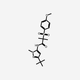 COc1ccc(S(=O)(=O)C(C)(C)C(=O)Nc2cc(C(C)(C)C)nn2C)cc1